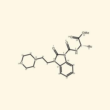 CCC(C)[C@H](NC(=O)n1c(=O)n(CCN2CCOCC2)c2ccccc21)C(=O)OC